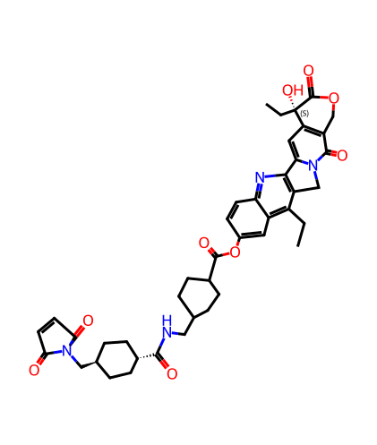 CCc1c2c(nc3ccc(OC(=O)C4CCC(CNC(=O)[C@H]5CC[C@H](CN6C(=O)C=CC6=O)CC5)CC4)cc13)-c1cc3c(c(=O)n1C2)COC(=O)[C@]3(O)CC